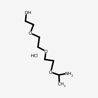 CC(N)OCCOCCOCCO.Cl